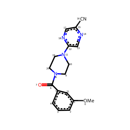 COc1cccc(C(=O)N2CCN(c3cnc(C#N)cn3)CC2)c1